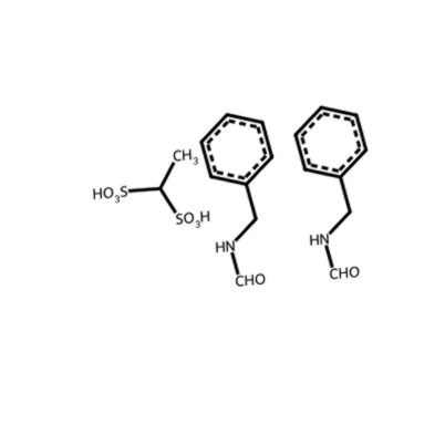 CC(S(=O)(=O)O)S(=O)(=O)O.O=CNCc1ccccc1.O=CNCc1ccccc1